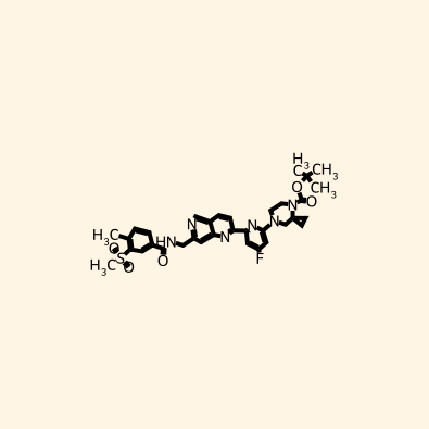 Cc1ccc(C(=O)NCc2cc3nc(-c4cc(F)cc(N5CCN(C(=O)OC(C)(C)C)C6(CC6)C5)n4)ccc3cn2)cc1S(C)(=O)=O